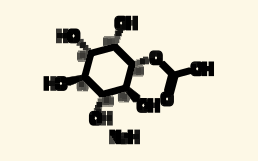 O=C(O)O[C@@H]1[C@@H](O)[C@H](O)[C@@H](O)[C@H](O)[C@@H]1O.[NaH]